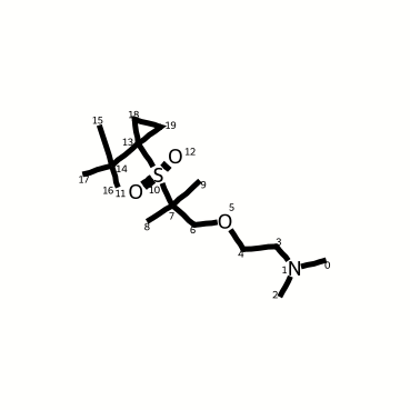 CN(C)CCOCC(C)(C)S(=O)(=O)C1(C(C)(C)C)CC1